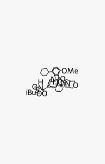 CCC(C)S(=O)(=O)NC(=O)C1=C2Cn3c(cc4c(OC)ccc(C5CCCCC5)c43)C3C(=C21)C=CC[C@H]3C(=O)N1C2COCC1CN(C)C2